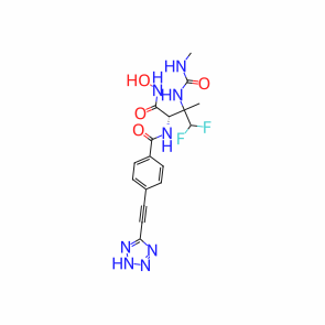 CNC(=O)NC(C)(C(F)F)[C@H](NC(=O)c1ccc(C#Cc2nn[nH]n2)cc1)C(=O)NO